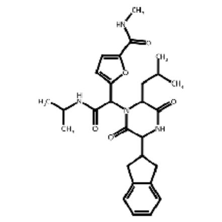 CNC(=O)c1ccc(C(C(=O)NC(C)C)N2C(=O)C(C3Cc4ccccc4C3)NC(=O)C2CC(C)C)o1